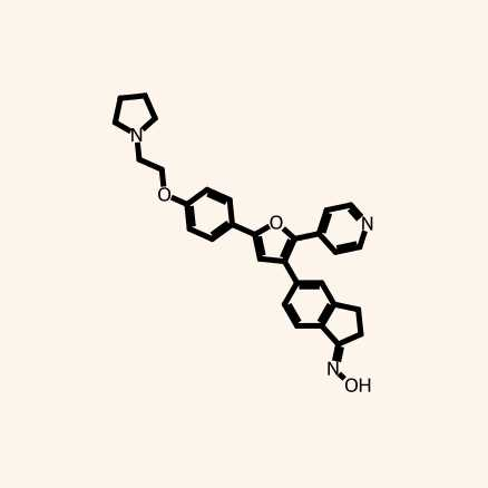 ON=C1CCc2cc(-c3cc(-c4ccc(OCCN5CCCC5)cc4)oc3-c3ccncc3)ccc21